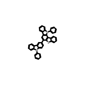 c1ccc(-n2c3ccccc3c3cc(-c4cc5c6ccccc6n(-c6ccccc6)c5c5c4sc4ccccc45)ccc32)cc1